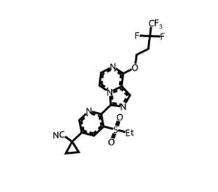 CCS(=O)(=O)c1cc(C2(C#N)CC2)cnc1-c1ncc2c(OCCC(F)(F)C(F)(F)F)nccn12